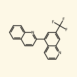 FC(F)(F)c1cc(-c2ccc3ccccc3n2)c2cccnc2c1